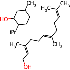 CC(C)=CCCC(C)=CCCC(C)=CCO.CC1CCC(C(C)C)C(O)C1